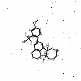 COc1ccc(-c2cc3c4c(c2)[C@@H]2CNCCC[C@@H]2N4CCC3)c(C(F)(F)F)c1